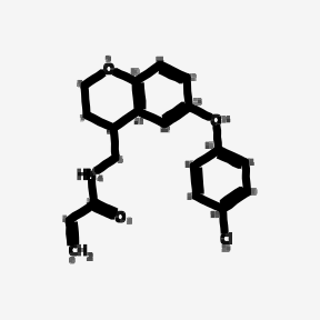 C=CC(=O)NCC1CCOc2ccc(Oc3ccc(Cl)cc3)cc21